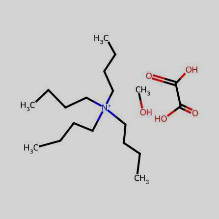 CCCC[N+](CCCC)(CCCC)CCCC.CO.O=C(O)C(=O)O